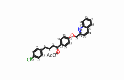 CC(=O)OOC(CCCc1ccc(Cl)cc1)c1ccc(OCc2ccc3ccccc3n2)cc1